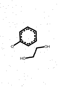 OCCO.[O]c1ccccc1